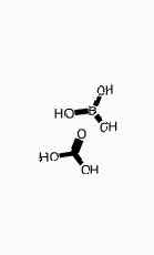 O=C(O)O.OB(O)O